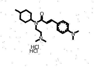 CC1CCC(N(CCN(C)C)C(=O)C=Cc2ccc(N(C)C)cc2)CC1.Cl.Cl